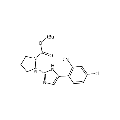 [C-]#[N+]c1cc(Cl)ccc1-c1cnc([C@@H]2CCCN2C(=O)OC(C)(C)C)[nH]1